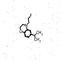 CC(C)c1ccc2c(c1)N(CCF)CCO2